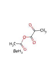 CC(=O)OC(=O)C(C)=O.[BeH2]